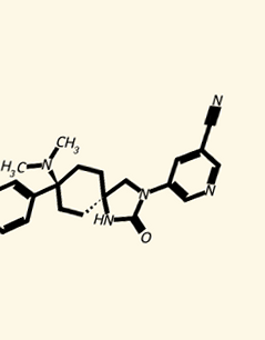 CN(C)[C@]1(c2ccccc2)CC[C@]2(CC1)CN(c1cncc(C#N)c1)C(=O)N2